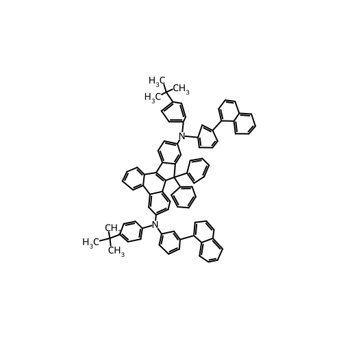 CC(C)(C)c1ccc(N(c2cccc(-c3cccc4ccccc34)c2)c2ccc3c(c2)C(c2ccccc2)(c2ccccc2)c2c-3c3ccccc3c3cc(N(c4ccc(C(C)(C)C)cc4)c4cccc(-c5cccc6ccccc56)c4)ccc23)cc1